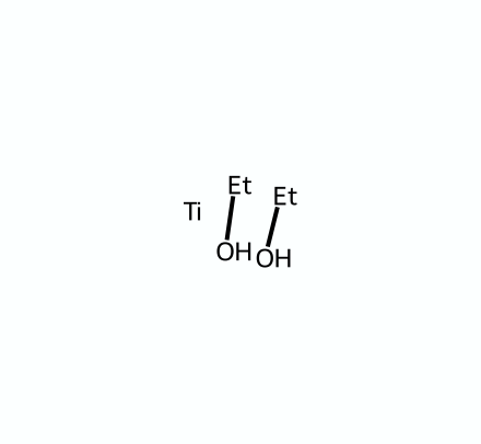 CCO.CCO.[Ti]